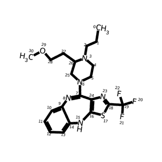 CCCN1CCN(C2=Nc3ccccc3Nc3sc(C(F)(F)F)nc32)CC1CCOC